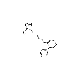 O=C(O)CCC=CCCc1ccccc1-c1ccccc1